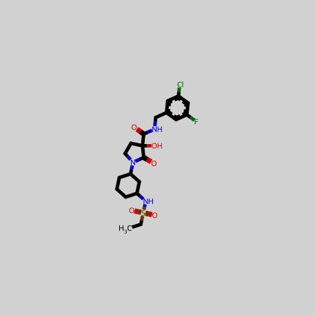 CCS(=O)(=O)NC1CCCC(N2CCC(O)(C(=O)NCc3cc(F)cc(Cl)c3)C2=O)C1